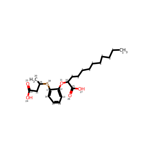 CCCCCCCCCCC(Oc1ccccc1SC(C)CC(=O)O)C(=O)O